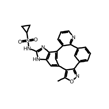 Cc1onc2c3cccc(c3)c3ncccc3c3cc(cc4[nH]c(NS(=O)(=O)C5CC5)nc43)c12